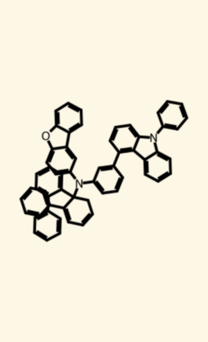 C1=CCC(c2ccccc2-c2ccccc2)(N(c2cccc(-c3cccc4c3c3ccccc3n4-c3ccccc3)c2)c2ccc3oc4ccccc4c3c2)C(c2ccccc2)=C1